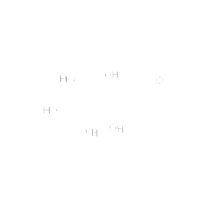 CC(C)(C)C(O)(O)C1CO1